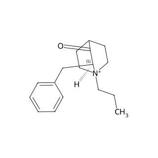 CCC[N+]12CCC(CC1)C(=O)[C@@H]2Cc1ccccc1